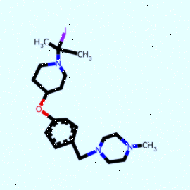 CN1CCN(Cc2ccc(OC3CCN(C(C)(C)I)CC3)cc2)CC1